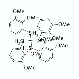 COc1cccc([SiH2]C([SiH2]c2cccc(OC)c2OC)([SiH2]c2cccc(OC)c2OC)[SiH2]c2cccc(OC)c2OC)c1OC